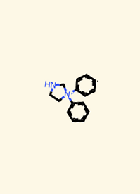 [c]1ccc([N+]2(c3ccccc3)CCNC2)cc1